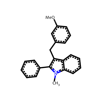 COc1cccc(Cc2c(-c3ccccc3)n(C)c3ccccc23)c1